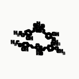 COc1ccc(C=CC(=O)NS(=O)(=O)C=Cc2ccc(OC)c(O)c2)cc1O.COc1ccc(C=CS(=O)(=O)NS(=O)(=O)C=Cc2ccc(OC)c(O)c2)cc1O